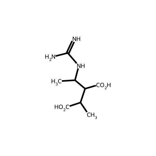 CC(NC(=N)N)C(C(=O)O)C(C)C(=O)O